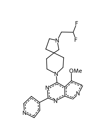 COc1cncc2nc(-c3ccncc3)nc(N3CCC4(CCN(CC(F)F)C4)CC3)c12